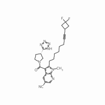 Cn1c(CCCCCCC#CC2CC(F)(F)C2)c(C(=O)N2CC[C@H](c3nnn[nH]3)C2)c2cc(C#N)cnc21